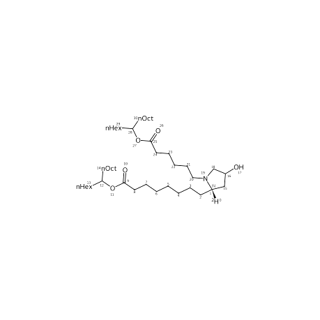 [2H][C@]1(CCCCCCCC(=O)OC(CCCCCC)CCCCCCCC)CC(O)CN1CCCCCC(=O)OC(CCCCCC)CCCCCCCC